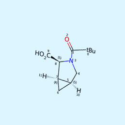 CC(C)(C)C(=O)N1C[C@H]2C[C@H]2[C@H]1C(=O)O